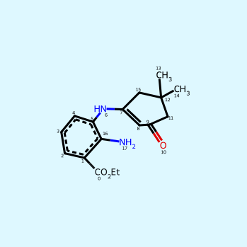 CCOC(=O)c1cccc(NC2=CC(=O)CC(C)(C)C2)c1N